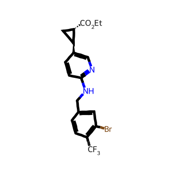 CCOC(=O)[C@H]1C[C@@H]1c1ccc(NCc2ccc(C(F)(F)F)c(Br)c2)nc1